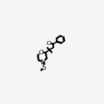 CSN1CCOC(C(C)(C)CC(=O)c2ccccc2)C1